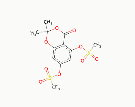 CC1(C)OC(=O)c2c(cc(OS(=O)(=O)C(F)(F)F)cc2OS(=O)(=O)C(F)(F)F)O1